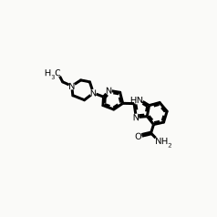 CCN1CCN(c2ccc(-c3nc4c(C(N)=O)cccc4[nH]3)cn2)CC1